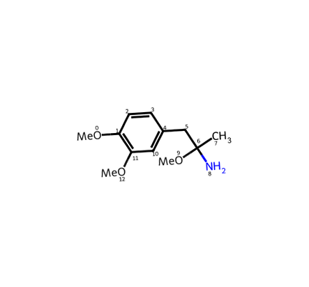 COc1ccc(CC(C)(N)OC)cc1OC